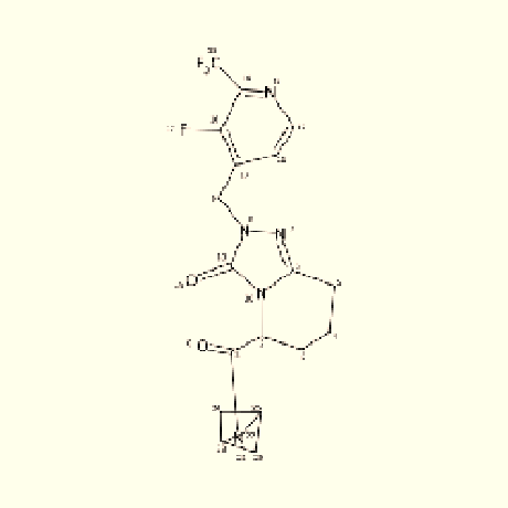 O=C(C1CCCc2nn(Cc3ccnc(C(F)(F)F)c3F)c(=O)n21)N1CC2CC1C2